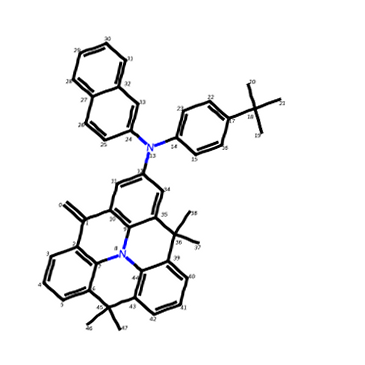 C=C1c2cccc3c2N2c4c1cc(N(c1ccc(C(C)(C)C)cc1)c1ccc5ccccc5c1)cc4C(C)(C)c1cccc(c12)C3(C)C